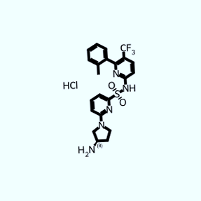 Cc1ccccc1-c1nc(NS(=O)(=O)c2cccc(N3CC[C@@H](N)C3)n2)ccc1C(F)(F)F.Cl